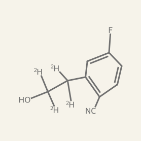 [2H]C([2H])(O)C([2H])([2H])c1cc(F)ccc1C#N